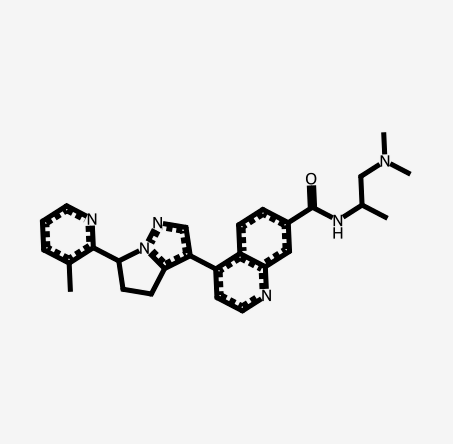 Cc1cccnc1C1CCc2c(-c3ccnc4cc(C(=O)NC(C)CN(C)C)ccc34)cnn21